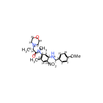 COc1ccc(CNc2cc(N(C)C(=O)[C@H](C)N3CCOCC3)c(C)cc2[N+](=O)[O-])cc1